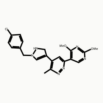 COc1ncc(-c2cc(C3=CN(Cc4ccc(Cl)cc4)NC3)c(C)nn2)c(OC)n1